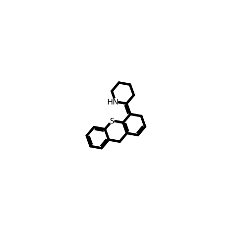 C1=CC2=C(Sc3ccccc3C2)C(=C2CCCCN2)C1